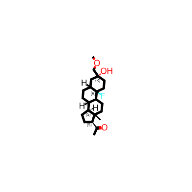 COC[C@@]1(O)CC[C@]2(F)C3CC[C@]4(C)[C@@H](C(C)=O)CC[C@H]4[C@@H]3CC[C@@H]2C1